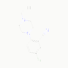 CCN1CCN(c2ccc(Br)cc2C#N)CC1